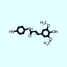 COc1cc(/C=C/C(=O)Nc2ccc(S)cc2)cc(OC)c1O